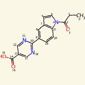 CCC(=O)n1ccc2cc(-c3ncc(C(=O)O)cn3)ccc21